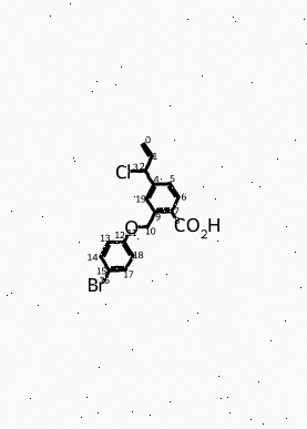 C=CC(Cl)c1ccc(C(=O)O)c(COc2ccc(Br)cc2)c1